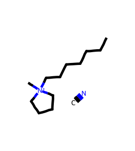 CCCCCCC[N+]1(C)CCCC1.[C-]#N